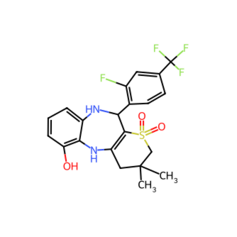 CC1(C)CC2=C(C(c3ccc(C(F)(F)F)cc3F)Nc3cccc(O)c3N2)S(=O)(=O)C1